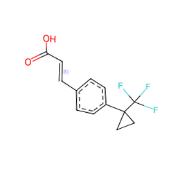 O=C(O)/C=C/c1ccc(C2(C(F)(F)F)CC2)cc1